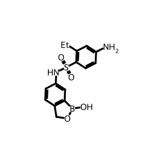 CCc1cc(N)ccc1S(=O)(=O)Nc1ccc2c(c1)B(O)OC2